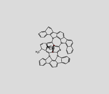 CC1C=CC=C(c2nc(-n3c4cc#ccc4c4ccc5c6ccccc6n(-c6ccccc6)c5c43)nc(-n3c4c5ccccc5ccc4c4ccc5c6ccc7ccccc7c6n(-c6ccccc6)c5c43)n2)C1